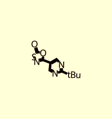 CC(C)(C)c1ncc(-c2nsc(=O)o2)cn1